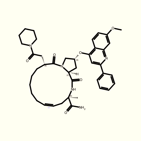 COc1ccc2c(O[C@@H]3C[C@H]4C(=O)N[C@@](C)(C(N)=O)C/C=C\CCCCC[C@H](CC(=O)N5CCCCC5)C(=O)N4C3)cc(-c3ccccc3)nc2c1